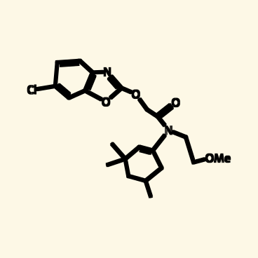 COCCN(C(=O)COc1nc2ccc(Cl)cc2o1)C1=CC(C)(C)CC(C)C1